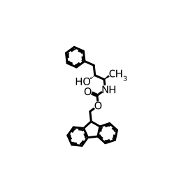 C[C@@H](NC(=O)OCC1c2ccccc2-c2ccccc21)[C@H](O)Cc1ccccc1